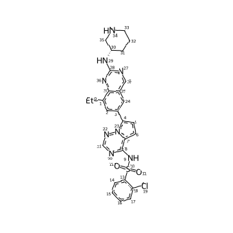 CCc1cc(-c2ccc3c(NS(=O)(=O)c4ccccc4Cl)ncnn23)cc2cnc(N[C@H]3CCCNC3)nc12